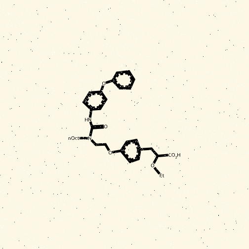 CCCCCCCCN(CCOc1ccc(CC(OCC)C(=O)O)cc1)C(=O)Nc1ccc(Oc2ccccc2)cc1